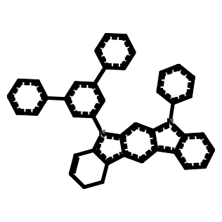 C1=Cc2c(c3cc4c5ccccc5n(-c5ccccc5)c4cc3n2-c2cc(-c3ccccc3)cc(-c3ccccc3)c2)CC1